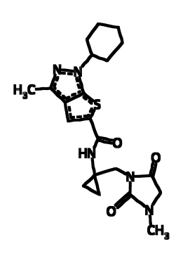 Cc1nn(C2CCCCC2)c2sc(C(=O)NC3(CN4C(=O)CN(C)C4=O)CC3)cc12